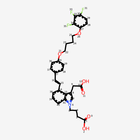 O=C(O)CCCn1cc(CC(=O)O)c2c(C=Cc3ccc(OCCCCOc4ccc(F)c(F)c4F)cc3)cccc21